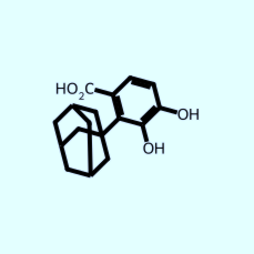 O=C(O)c1ccc(O)c(O)c1C12CC3CC(CC(C3)C1)C2